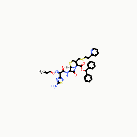 C=CCO/N=C(/C(=O)NC1C(=O)N2C(C(=O)OC(c3ccccc3)c3ccccc3)=C(CS/C=C/c3ccccn3)CS[C@H]12)c1nsc(N)n1